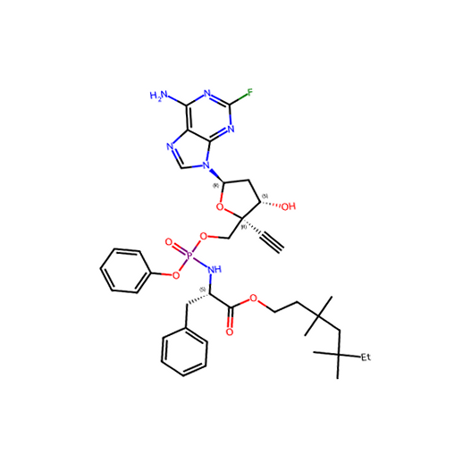 C#C[C@]1(COP(=O)(N[C@@H](Cc2ccccc2)C(=O)OCCC(C)(C)CC(C)(C)CC)Oc2ccccc2)O[C@@H](n2cnc3c(N)nc(F)nc32)C[C@@H]1O